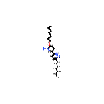 CCCCCCCOC1C=CC(c2ccc(CCCCCCC)nn2)=CN1